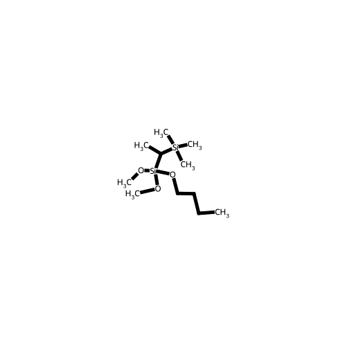 CCCCO[Si](OC)(OC)C(C)[Si](C)(C)C